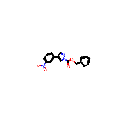 O=C(OCc1ccccc1)n1cc(-c2cccc([N+](=O)[O-])c2)cn1